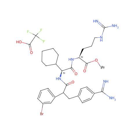 CC(C)OC(=O)[C@H](CCCNC(=N)N)NC(=O)[C@@H](NC(=O)C(Cc1ccc(C(=N)N)cc1)c1cccc(Br)c1)C1CCCCC1.O=C(O)C(F)(F)F